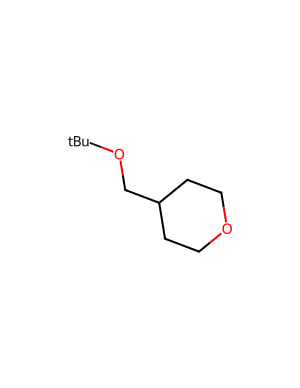 CC(C)(C)OCC1CCOCC1